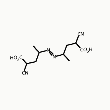 CC(CC(C#N)C(=O)O)/N=N/C(C)CC(C#N)C(=O)O